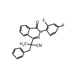 CC(C#N)(Cc1ccccc1)c1nn(-c2ccc(F)cc2F)c(=O)c2ccccc12